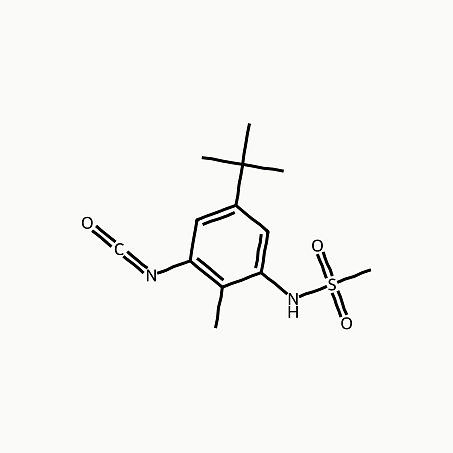 Cc1c(N=C=O)cc(C(C)(C)C)cc1NS(C)(=O)=O